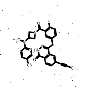 CC#Cc1ccc2c(=O)[nH]nc(Cc3ccc(F)c(C(=O)N4CC(N(C)c5ccc(C#N)cn5)C4)c3)c2c1